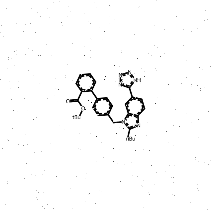 CCCCc1nc2ccc(-c3nnn[nH]3)cc2n1Cc1ccc(-c2ccccc2C(=O)OC(C)(C)C)cc1